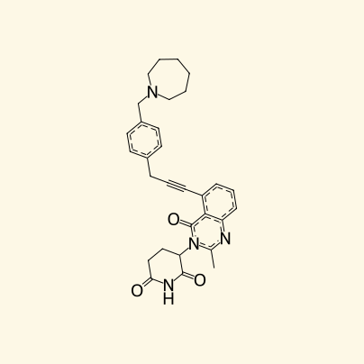 Cc1nc2cccc(C#CCc3ccc(CN4CCCCCC4)cc3)c2c(=O)n1C1CCC(=O)NC1=O